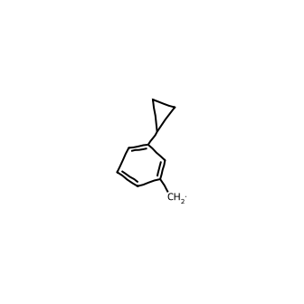 [CH2]c1cccc(C2CC2)c1